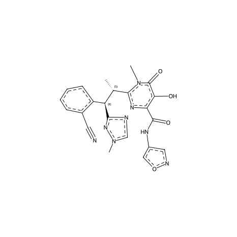 C[C@H](c1nc(C(=O)Nc2cnoc2)c(O)c(=O)n1C)[C@@H](c1ncn(C)n1)c1ccccc1C#N